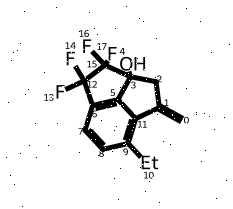 C=C1CC2(O)c3c(ccc(CC)c31)C(F)(F)C2(F)F